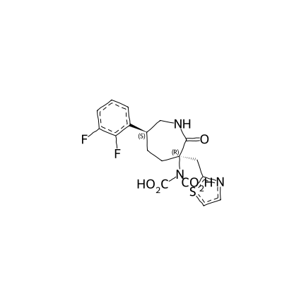 O=C(O)N(C(=O)O)[C@@]1(Cc2nccs2)CC[C@@H](c2cccc(F)c2F)CNC1=O